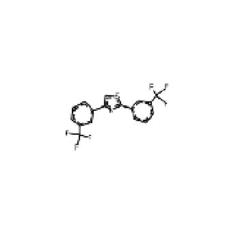 FC(F)(F)c1cccc(-c2csc(-c3cccc(C(F)(F)F)c3)n2)c1